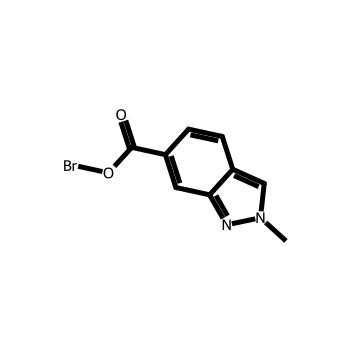 Cn1cc2ccc(C(=O)OBr)cc2n1